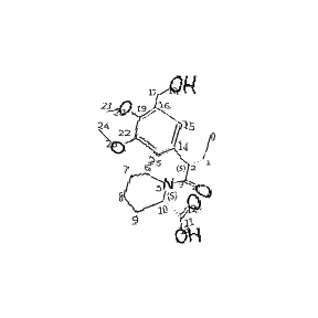 CC[C@H](C(=O)N1CCCC[C@H]1C(=O)O)c1cc(CO)c(OC)c(OC)c1